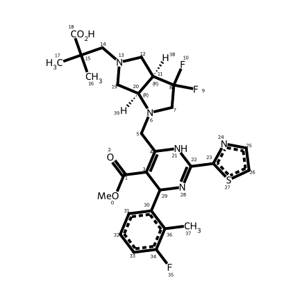 COC(=O)C1=C(CN2CC(F)(F)[C@@H]3CN(CC(C)(C)C(=O)O)C[C@@H]32)NC(c2nccs2)=NC1c1cccc(F)c1C